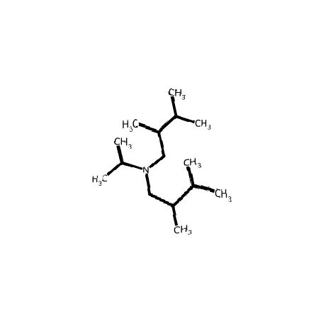 CC(C)C(C)CN(CC(C)C(C)C)C(C)C